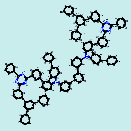 c1ccc(-c2cc(-c3ccccc3)cc(-c3cccc(-c4nc(-c5ccccc5)nc(-c5cccc(-c6cccc7c6c6cc(-c8ccccc8)ccc6n7-c6cccc(-c7cccc(-c8cccc(-n9c%10ccc(-c%11ccccc%11)cc%10c%10c(-c%11cccc(-c%12nc(-c%13ccccc%13)nc(-c%13cccc(-c%14cc(-c%15ccccc%15)cc(-c%15ccccc%15)c%14)c%13)n%12)c%11)cccc%109)c8)c7)c6)c5)n4)c3)c2)cc1